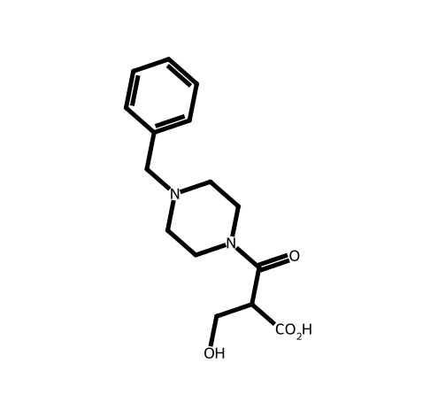 O=C(O)C(CO)C(=O)N1CCN(Cc2ccccc2)CC1